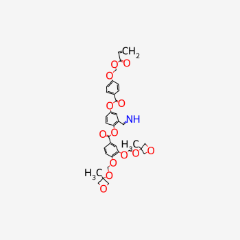 C=CC(=O)OCOc1ccc(C(=O)Oc2ccc(OC(=O)c3ccc(OCOC4(C)COC4)c(OCOC4(C)COC4)c3)c(C=N)c2)cc1